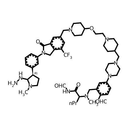 CCCC(C(=O)NC=O)N(C)Cc1cc(N2CCN(CC3CCN(CCOC4CCN(Cc5cc6c(c(C(F)(F)F)c5)CN(c5cccc([C@H]7CCN(C)C7NN)c5)C6=O)CC4)CC3)CC2)ccc1C=O